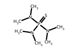 CN(C)P(=S)(N(C)C)N(C)C